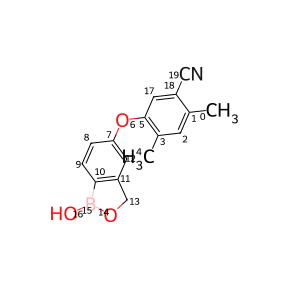 Cc1cc(C)c(Oc2ccc3c(c2)COB3O)cc1C#N